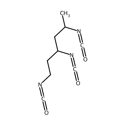 CC(CC(CCN=C=O)N=C=O)N=C=O